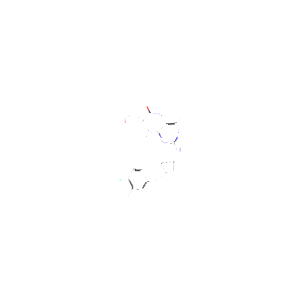 Cc1nc(N[C@H]2C[C@H](Oc3ccc(F)c(F)c3)C2)nc2c1NC(=O)[C@@](O)(O[C@@H](C)O)N2C